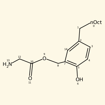 CCCCCCCCCc1ccc(O)c(COC(=O)CN)c1